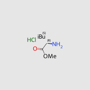 CC[C@H](C)[C@@H](N)C(=O)OC.Cl